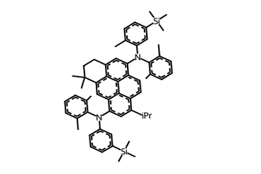 Cc1ccc([Si](C)(C)C)cc1N(c1c(C)cccc1C)c1cc2c3c(cc4c(N(c5cccc([Si](C)(C)C)c5)c5c(C)cccc5C)cc(C(C)C)c5ccc1c3c54)C(C)(C)CC2